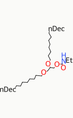 CCCCCCCCCCCCCCCCCCOCC(COC(=O)NCC)OCCCCCCCCCCCCCCCCCC